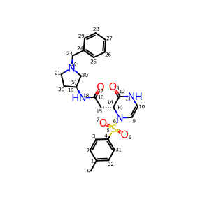 Cc1ccc(S(=O)(=O)N2C=CNC(=O)[C@H]2CC(=O)N[C@H]2CCN(Cc3ccccc3)C2)cc1